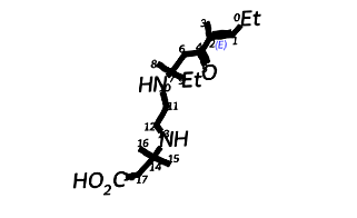 CC/C=C(\C)C(=O)CC(C)(CC)NCCNC(C)(C)CC(=O)O